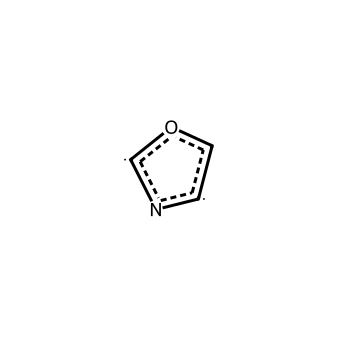 [c]1co[c]n1